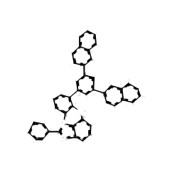 c1ccc(-c2nc3cccc4c3n2-c2cccc(-c3cc(-c5ccc6ccccc6c5)cc(-c5ccc6ccccc6c5)c3)c2S4)cc1